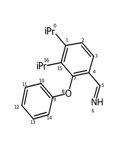 CC(C)c1ccc(C=N)c(Oc2ccccc2)c1C(C)C